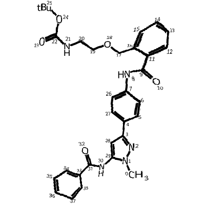 Cn1nc(-c2ccc(NC(=O)c3ccccc3COCCNC(=O)OC(C)(C)C)cc2)cc1NC(=O)c1ccccc1